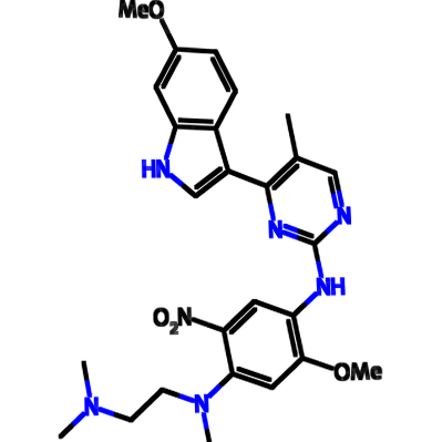 COc1ccc2c(-c3nc(Nc4cc([N+](=O)[O-])c(N(C)CCN(C)C)cc4OC)ncc3C)c[nH]c2c1